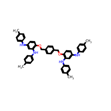 Cc1ccc(Nc2ccc(OCc3ccc(COc4ccc(Nc5ccc(C)cc5)cc4Nc4ccc(C)cc4)cc3)c(Nc3ccc(C)cc3)c2)cc1